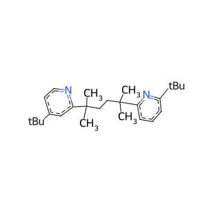 CC(C)(C)c1ccnc(C(C)(C)CCC(C)(C)c2cccc(C(C)(C)C)n2)c1